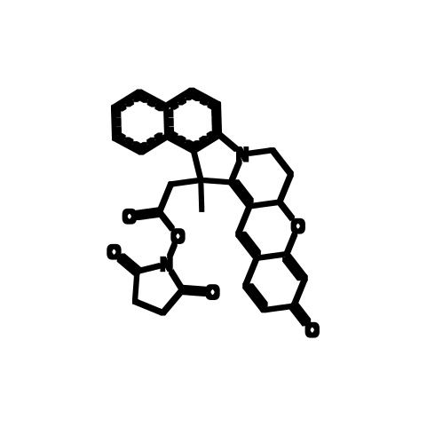 CC1(CC(=O)ON2C(=O)CCC2=O)C2=C3C=C4C=CC(=O)C=C4OC3CCN2c2ccc3ccccc3c21